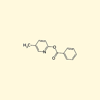 Cc1ccc(OC(=O)c2ccccc2)nc1